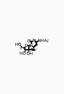 C#C[C@@]1(O)C(n2ccc(NC(C)=O)nc2=O)O[C@H](CO)[C@H]1O